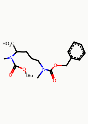 CN(CCCC(C(=O)O)N(C)C(=O)OC(C)(C)C)C(=O)OCc1ccccc1